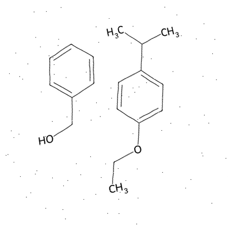 CCOc1ccc(C(C)C)cc1.OCc1ccccc1